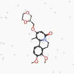 COc1ccc2c(c1OC)CCn1c-2c(C)c(OC[C@@H]2COCCO2)cc1=O